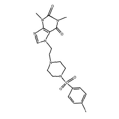 Cc1ccc(S(=O)(=O)N2CCN(CCn3cnc4c3c(=O)n(C)c(=O)n4C)CC2)cc1